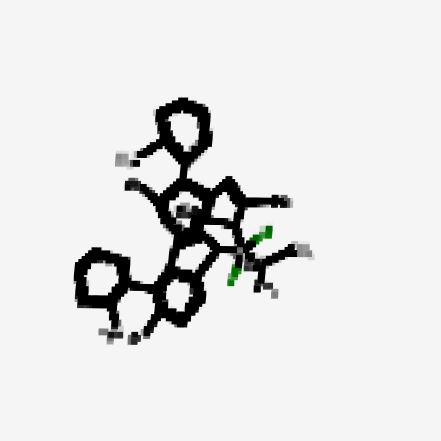 Cc1ccccc1-c1c(C(C)C)ccc2c1C=C(C(C)(C)C)[CH]2[Zr]([Cl])([Cl])([CH]1C(C(C)(C)C)=Cc2c1ccc(C(C)C)c2-c1ccccc1C)[SiH](C)C